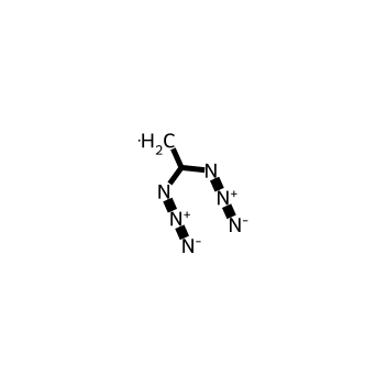 [CH2]C(N=[N+]=[N-])N=[N+]=[N-]